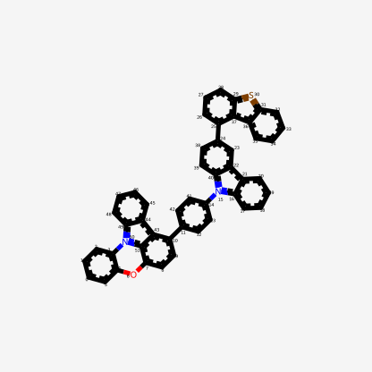 c1ccc2c(c1)Oc1ccc(-c3ccc(-n4c5ccccc5c5cc(-c6cccc7sc8ccccc8c67)ccc54)cc3)c3c4ccccc4n-2c13